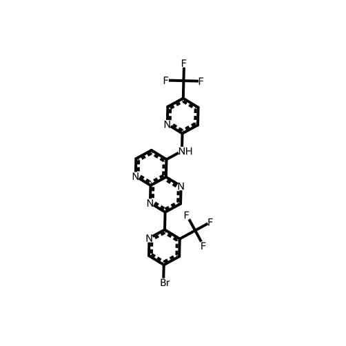 FC(F)(F)c1ccc(Nc2ccnc3nc(-c4ncc(Br)cc4C(F)(F)F)cnc23)nc1